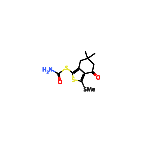 CSc1sc(SC(N)=O)c2c1C(=O)CC(C)(C)C2